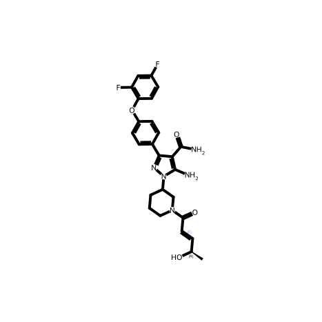 C[C@@H](O)/C=C/C(=O)N1CCCC(n2nc(-c3ccc(Oc4ccc(F)cc4F)cc3)c(C(N)=O)c2N)C1